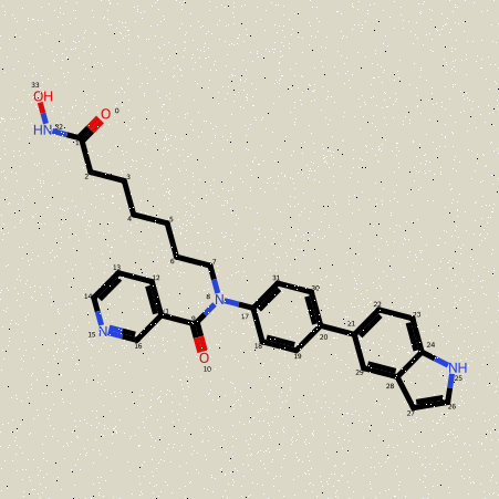 O=C(CCCCCCN(C(=O)c1cccnc1)c1ccc(-c2ccc3[nH]ccc3c2)cc1)NO